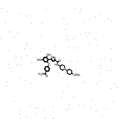 COC1CCC(N2CCC(NC(=O)c3cc(-c4c(O)cc(O)cc4Oc4ccc(C(N)=O)cc4)on3)CC2)CC1